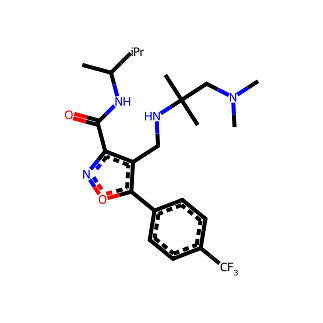 CC(C)C(C)NC(=O)c1noc(-c2ccc(C(F)(F)F)cc2)c1CNC(C)(C)CN(C)C